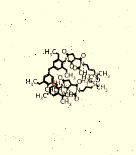 CCc1cc(Cc2cc(CC)c(N3C(=O)CC(C(=O)N(CCC[Si](C)(C)O[Si](C)(C)CCCN(C(C)=O)C(=O)C4CC(=O)N(c5c(C)cc(C)cc5C(C)C)C4=O)C(C)=O)C3=O)c(CC)c2)cc(CC)c1C